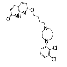 O=c1ccc2ccc(OCCCCN3CCCN(c4cccc(Cl)c4Cl)CC3)nc2[nH]1